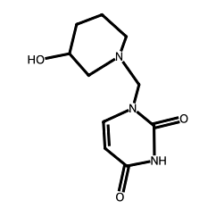 O=c1ccn(CN2CCCC(O)C2)c(=O)[nH]1